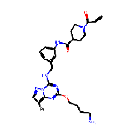 C=CC(=O)N1CCC(C(=O)Nc2cccc(CNc3nc(OCCCCN)nc4c(C(C)C)cnn34)c2)CC1